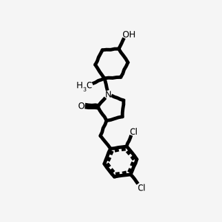 CC1(N2CCC(Cc3ccc(Cl)cc3Cl)C2=O)CCC(O)CC1